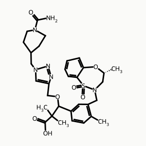 Cc1ccc(C(OCc2cn(CC3CCN(C(N)=O)CC3)nn2)C(C)(C)C(=O)O)cc1CN1C[C@@H](C)Oc2ccccc2S1(=O)=O